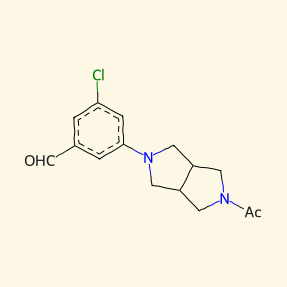 CC(=O)N1CC2CN(c3cc(Cl)cc(C=O)c3)CC2C1